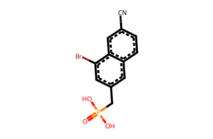 N#Cc1ccc2cc(CP(=O)(O)O)cc(Br)c2c1